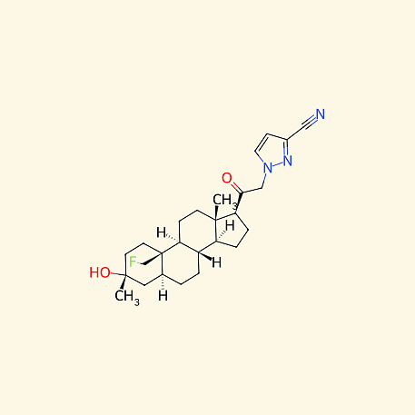 C[C@@]1(O)CC[C@@]2(CF)[C@@H](CC[C@H]3[C@@H]4CC[C@H](C(=O)Cn5ccc(C#N)n5)[C@@]4(C)CC[C@@H]32)C1